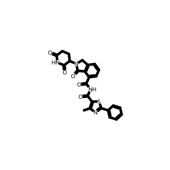 Cc1nc(-c2ccccc2)sc1C(=O)NC(=O)c1cccc2c1C(=O)N(C1CCC(=O)NC1=O)C2